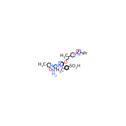 CC(C)c1noc(N2CCC([C@H](C)CCOc3cnc(N4C[C@H](N)[C@@H](N5CC[C@@H](C)CC5=O)C4)nc3)CC2)n1.Cc1ccc(S(=O)(=O)O)cc1